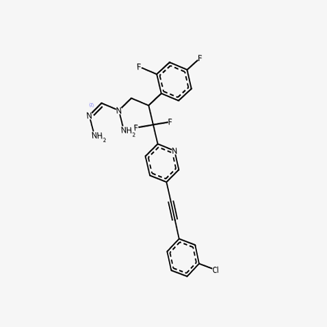 N/N=C\N(N)CC(c1ccc(F)cc1F)C(F)(F)c1ccc(C#Cc2cccc(Cl)c2)cn1